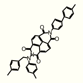 Cc1ccc(CN(c2ccc(C)cc2)N2C(=O)c3ccc4c5c(ccc(c35)C2=O)C(=O)N(c2ccc(-c3ccc(C)cc3)cc2)C4=O)cc1